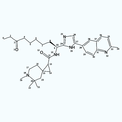 CCC(=O)CCCCC[C@H](NC(=O)C1CC12CCN(C)C(C)(C)C2)c1ncc(-c2ccc3nc(C)ccc3c2)[nH]1